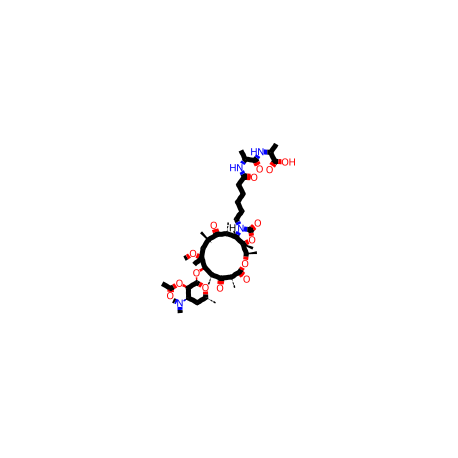 COC1(C)C[C@@H](C)C(=O)[C@H](C)[C@H]2N(CCCCCC(=O)NC(C)C(=O)NC(C)C(=O)O)C(=O)O[C@]2(C)[C@@H](C)OC(=O)[C@H](C)C(=O)[C@H](C)[C@H]1O[C@@H]1O[C@H](C)C[C@H](N(C)C)[C@H]1OC(C)=O